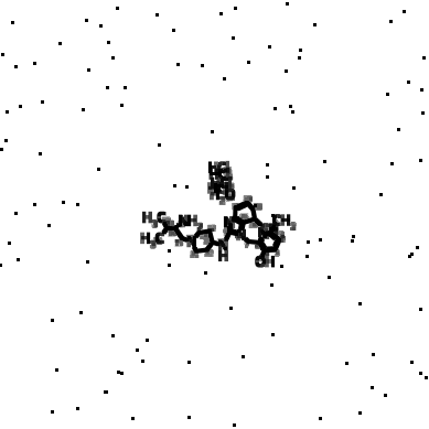 Cc1ccc(O)c(Cn2c(NC3CCN(CC(N)C(C)C)CC3)nc3c2C(C)CC=C3)n1.Cl.Cl.Cl.Cl.O